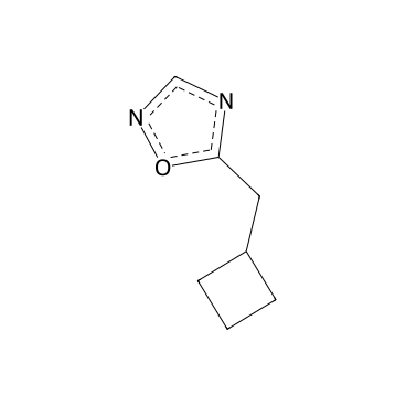 c1noc(CC2CCC2)n1